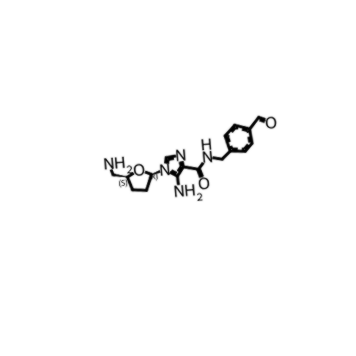 NC[C@@H]1CC[C@H](n2cnc(C(=O)NCc3ccc(C=O)cc3)c2N)O1